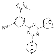 Cn1ccnc1-c1cc(C#N)cc(-c2nc(C34CCC(CC3)CC4)nc(C34CCC(CC3)CC4)n2)c1